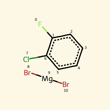 Fc1c[c]ccc1Cl.[Br][Mg][Br]